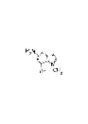 Cn1ccc2cc(N)cc(Br)c21